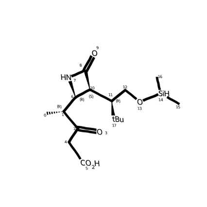 C[C@@H](C(=O)CC(=O)O)[C@H]1NC(=O)[C@H]1[C@@H](CO[SiH](C)C)C(C)(C)C